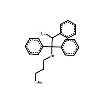 CCCCCCCCCCCCCNC(c1ccccc1)(c1ccccc1)C(C)c1ccccc1